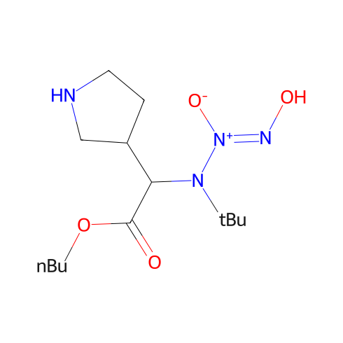 CCCCOC(=O)C(C1CCNC1)N([N+]([O-])=NO)C(C)(C)C